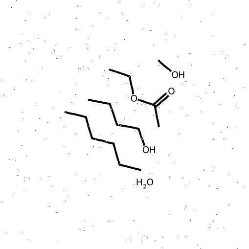 CCCCCC.CCCCO.CCOC(C)=O.CO.O